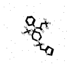 [2H]C([2H])([2H])CC(=O)N(c1ccccc1)C1(OC([2H])([2H])[2H])CCN(C([2H])([2H])Cc2cccs2)CC1